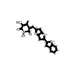 CCN1C(=O)C(C#N)=C(C)/C(=C/c2cc3sc(-c4cc5ccccc5s4)cc3o2)C1=O